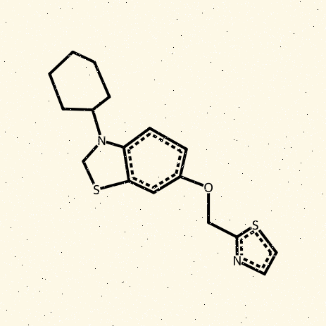 c1csc(COc2ccc3c(c2)SCN3C2CCCCC2)n1